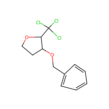 ClC(Cl)(Cl)C1OCCC1OCc1ccccc1